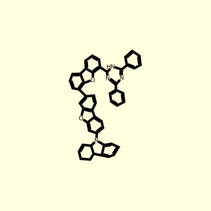 C1=CC2C(CC1)c1ccccc1N2c1ccc2c(c1)oc1cc(-c3cccc4c3oc3c(C5N=C(c6ccccc6)N=C(c6ccccc6)N5)cccc34)ccc12